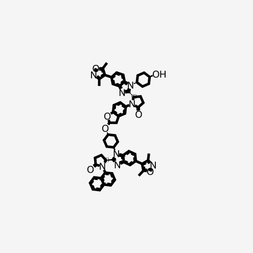 Cc1noc(C)c1-c1ccc2c(c1)nc([C@@H]1CCC(=O)N1c1ccc3c(c1)CC(O[C@H]1CC[C@H](n4c([C@@H]5CCC(=O)N5c5cccc6ccccc56)nc5cc(-c6c(C)noc6C)ccc54)CC1)O3)n2[C@H]1CC[C@H](O)CC1